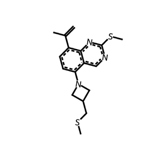 C=C(C)c1ccc(N2CC(CSC)C2)c2cnc(SC)nc12